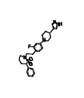 O=S1(=O)C(c2ccccc2)CCCN1CCc1ccc(N2CCC(c3cn[nH]c3)CC2)cc1F